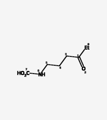 CCC(=O)CCCNC(=O)O